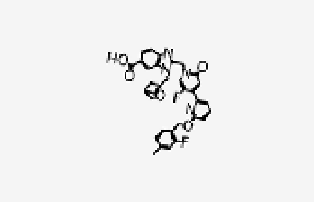 Cc1ccc(COc2cccc(-c3cc(=O)n(Cc4nc5ccc(C(=O)O)cc5n4CC45CC(CO4)C5)cc3F)n2)c(F)c1